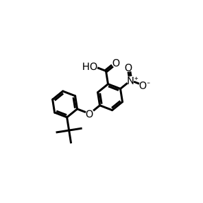 CC(C)(C)c1ccccc1Oc1ccc([N+](=O)[O-])c(C(=O)O)c1